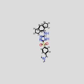 CN(C)Cc1ccc(S(=O)(=O)c2nnc(Nc3c4c(cc5c3CCC5)CCC4)[nH]2)cc1